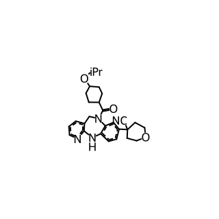 CC(C)OC1CCC(C(=O)N2Cc3cccnc3Nc3ccc(C4(C#N)CCOCC4)cc32)CC1